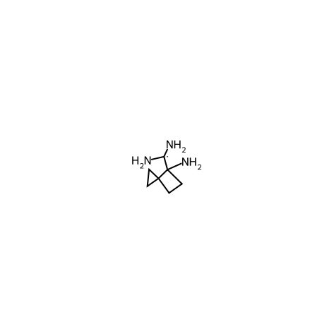 N[C](N)C1(N)CCC12CC2